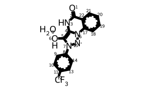 O.O=C1NC2=C(O)N(c3ccc(C(F)(F)F)cc3)[N]N2c2ccccc21